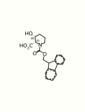 O=C(O)[C@@H]1[C@H](O)CCCN1C(=O)OCC1c2ccccc2-c2ccccc21